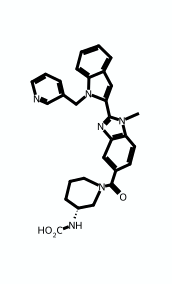 Cn1c(-c2cc3ccccc3n2Cc2cccnc2)nc2cc(C(=O)N3CCC[C@@H](NC(=O)O)C3)ccc21